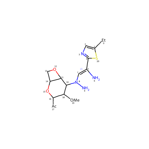 CCc1cnc(/C(N)=C/N(N)C2C3OCC3OC(C(C)=O)C2OC)s1